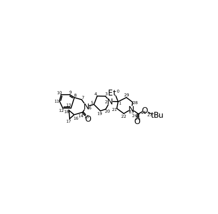 CCC1(N2CCC(N(Cc3ccccc3)C(=O)C3CC3)CC2)CCN(C(=O)OC(C)(C)C)CC1